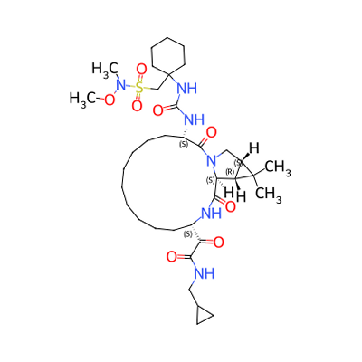 CON(C)S(=O)(=O)CC1(NC(=O)N[C@H]2CCCCCCCCC[C@@H](C(=O)C(=O)NCC3CC3)NC(=O)[C@@H]3[C@@H]4[C@H](CN3C2=O)C4(C)C)CCCCC1